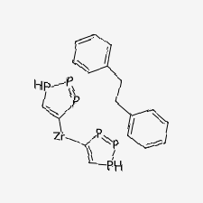 c1[pH]pp[c]1[Zr][c]1c[pH]pp1.c1ccc(CCc2ccccc2)cc1